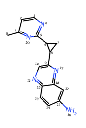 Cc1ccnc(C2CC2c2cnc3ccc(N)cc3n2)n1